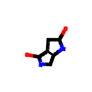 O=c1cc2c(=O)ncc-2n1